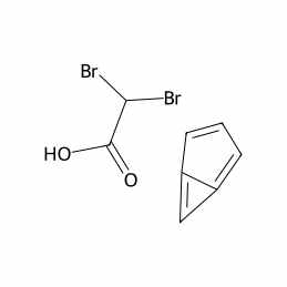 O=C(O)C(Br)Br.c1cc2cc-2c1